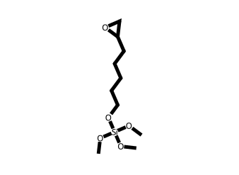 CO[Si](OC)(OC)OCCCCCC1CO1